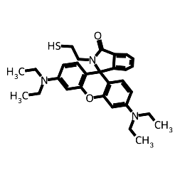 CCN(CC)c1ccc2c(c1)Oc1cc(N(CC)CC)ccc1C21c2ccccc2C(=O)N1CCS